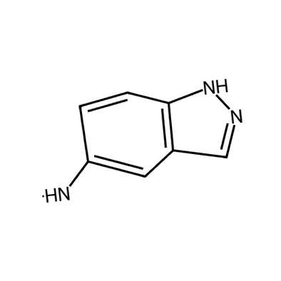 [NH]c1ccc2[nH]ncc2c1